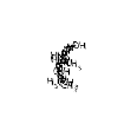 CN1CC(c2cccc(NC(=O)c3ccc(C(C)(C)C)nc3)c2F)NC(Nc2ccc(N3CCN(CCO)CC3)cc2)C1=O